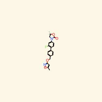 Cc1cc(OCc2ccc(-c3ccc(N4C[C@H](C)OC4=O)cc3F)cc2)no1